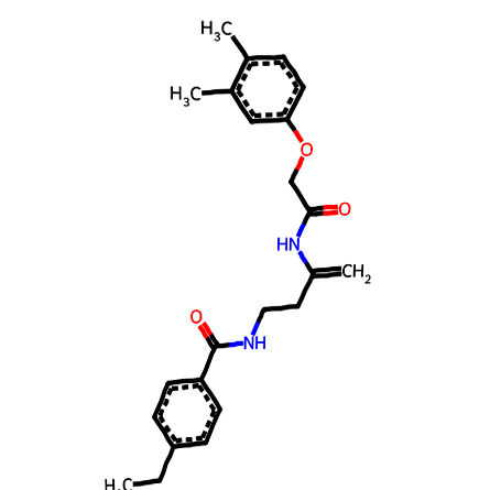 C=C(CCNC(=O)c1ccc(CC)cc1)NC(=O)COc1ccc(C)c(C)c1